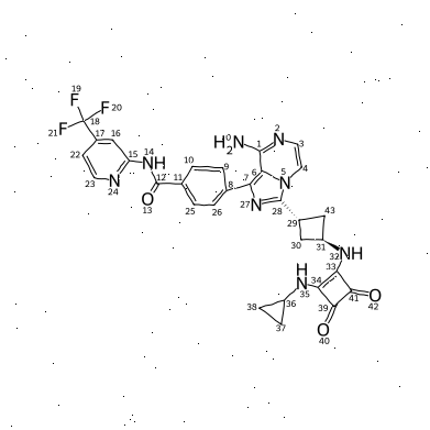 Nc1nccn2c1c(-c1ccc(C(=O)Nc3cc(C(F)(F)F)ccn3)cc1)nc2[C@H]1C[C@H](Nc2c(NC3CC3)c(=O)c2=O)C1